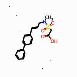 CN(CC=Cc1ccc(-c2ccccc2)cc1)S(=O)(=O)CC(=O)O